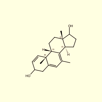 CC1=C2[C@@H](CC[C@]3(C)C(O)CC[C@@H]23)[C@@]2(C)C=CC(O)CC2=C1